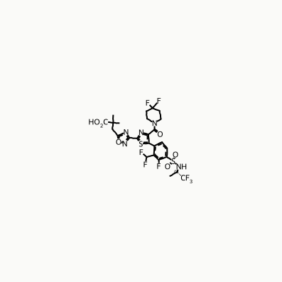 C[C@H](NS(=O)(=O)c1ccc(-c2sc(-c3noc(CC(C)(C)C(=O)O)n3)nc2C(=O)N2CCC(F)(F)CC2)c(C(F)F)c1F)C(F)(F)F